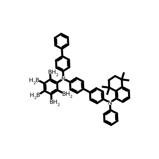 Bc1c(B)c(B)c(N(c2ccc(-c3ccccc3)cc2)c2ccc(-c3ccc(N(c4ccccc4)c4cccc5c4C(C)(C)CCC5(C)C)cc3)cc2)c(B)c1B